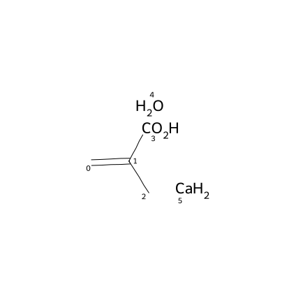 C=C(C)C(=O)O.O.[CaH2]